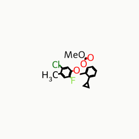 COC(=O)Oc1cccc(C2CC2)c1COc1cc(Cl)c(C)cc1F